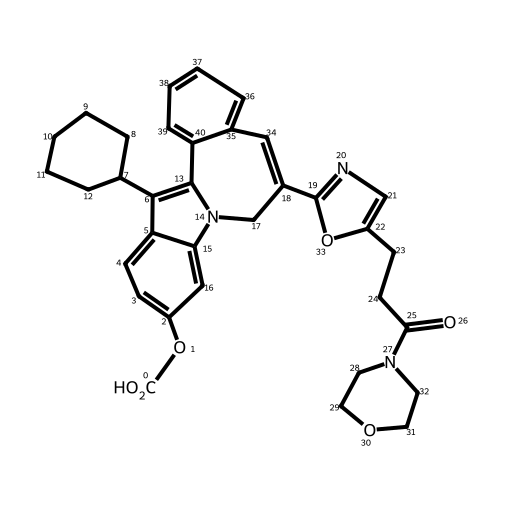 O=C(O)Oc1ccc2c(C3CCCCC3)c3n(c2c1)CC(c1ncc(CCC(=O)N2CCOCC2)o1)=Cc1ccccc1-3